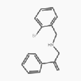 C=C(CNCc1ccccc1Br)c1ccccc1